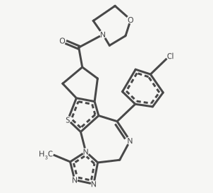 Cc1nnc2n1-c1sc3c(c1C(c1ccc(Cl)cc1)=NC2)CC(C(=O)N1CCOCC1)C3